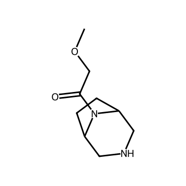 COCC(=O)N1C2CCC1CNC2